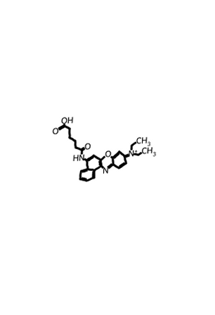 CC[N+](CC)=c1ccc2nc3c(cc(NC(=O)CCCCC(=O)O)c4ccccc43)oc-2c1